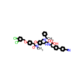 CC(c1ccccc1)N1Cc2cc3c(cc2CC1C(=O)NC(Cc1ccc(-c2ccc(C#N)cc2)cc1)C(=O)O)N(C)C(=O)C(c1ccc(OCc2ccc(Cl)c(Cl)c2)cc1)O3